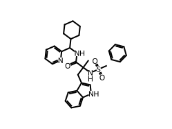 CC(Cc1c[nH]c2ccccc12)(NS(C)(=O)=O)C(=O)NC(c1ccccn1)C1CCCCC1.c1ccccc1